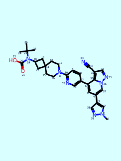 Cn1cc(-c2cc(-c3ccc(N4CCC5(CC4)CC(N(C(=O)O)C(C)(C)C)C5)nc3)c3c(C#N)cnn3c2)cn1